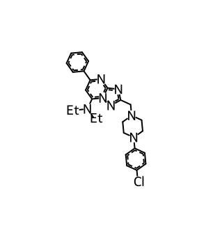 CCN(CC)c1cc(-c2ccccc2)nc2nc(CN3CCN(c4ccc(Cl)cc4)CC3)nn12